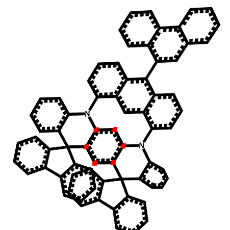 c1ccc2c(c1)-c1ccccc1C21c2ccccc2N(c2cccc3c(-c4cc5ccccc5c5ccccc45)c4cccc(N5c6ccccc6C6(c7ccccc7-c7ccccc76)c6ccccc65)c4cc23)c2ccccc21